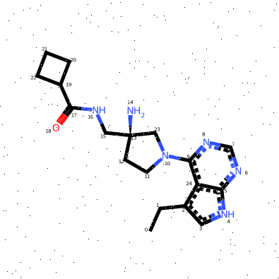 CCc1c[nH]c2ncnc(N3CC[C@](N)(CNC(=O)C4CCC4)C3)c12